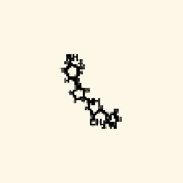 CC(CNC1CCN(c2ccc(N)cc2)C1)Cn1ccnc1